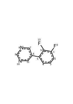 Fc1cccc(-c2cncnc2)c1F